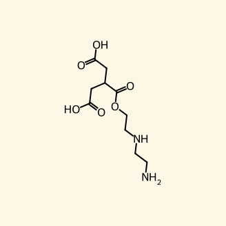 NCCNCCOC(=O)C(CC(=O)O)CC(=O)O